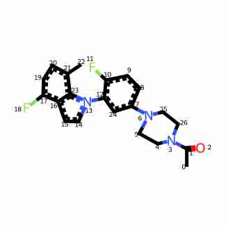 CC(=O)N1CCN(c2ccc(F)c(-n3ccc4c(F)ccc(C)c43)c2)CC1